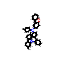 Cc1ccc(N(c2ccc(-c3ccccc3-n3c4cc(C)ccc4c4ccc(C)cc43)cc2)c2ccc3oc4ccccc4c3c2)cc1